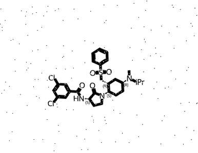 CC(C)N(C)[C@@H]1CC[C@H](N2CC[C@H](NC(=O)c3cc(Cl)cc(Cl)c3)C2=O)[C@H](CS(=O)(=O)c2ccccc2)C1